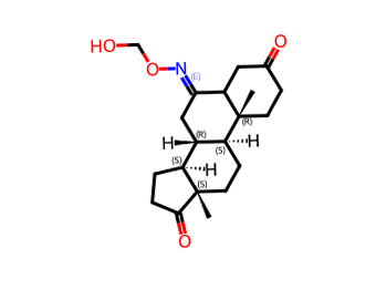 C[C@]12CCC(=O)CC1/C(=N/OCO)C[C@@H]1[C@@H]2CC[C@]2(C)C(=O)CC[C@@H]12